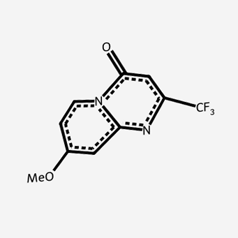 COc1ccn2c(=O)cc(C(F)(F)F)nc2c1